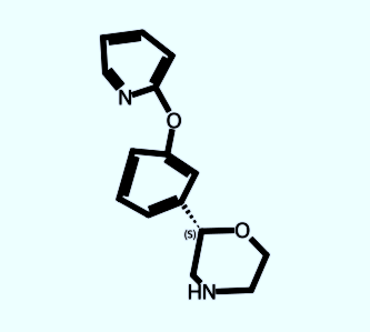 c1ccc(Oc2cccc([C@H]3CNCCO3)c2)nc1